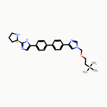 C[Si](C)(C)CCOCn1cnc(-c2ccc(-c3ccc(-c4cnc([C@H]5CCCN5)[nH]4)cc3)cc2)c1